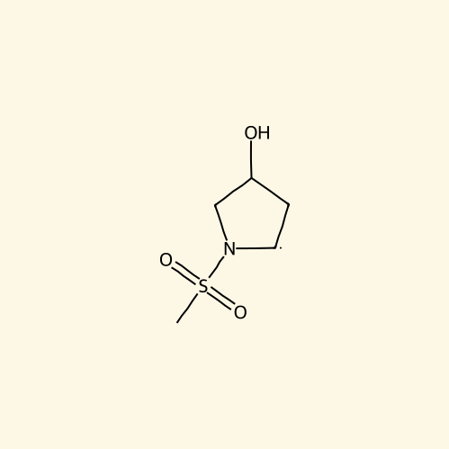 CS(=O)(=O)N1[CH]CC(O)C1